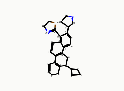 C1=CC2=C(CC1)C(C1CCC1)Cc1c2ccc2c(C3=NCCS3)c(C3CCNC3)ccc12